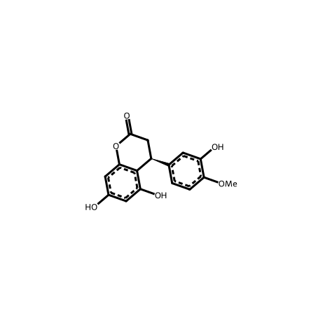 COc1ccc([C@@H]2CC(=O)Oc3cc(O)cc(O)c32)cc1O